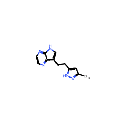 Cc1cc(CCc2c[nH]c3nccnc23)[nH]n1